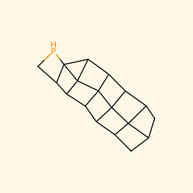 C1PC23C1C1C4C5C6CC7CC8C9C%10C2C13C4%10C59C768